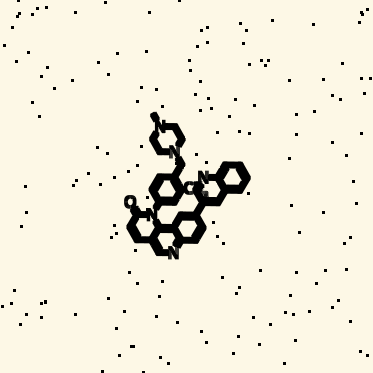 CN1CCN(Cc2ccc(-n3c(=O)ccc4cnc5ccc(-c6cnc7ccccc7c6)cc5c43)cc2C(F)(F)F)CC1